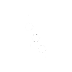 CCCc1ccc(-c2ccc(-c3ccc(OCC)c(F)c3)cc2F)cc1